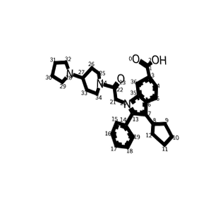 O=C(O)c1ccc2c(C3CCCC3)c(-c3ccccc3)n(CC(=O)N3CCC(N4CCCC4)CC3)c2c1